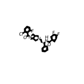 O=C(N[C@@H](CCN1CC2=CN(C(=O)c3c(F)cccc3Cl)CC2C1)c1ccccc1)c1ccc(F)c(F)c1